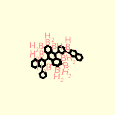 Bc1c(B)c(B)c2c(-c3cc(-c4ccccc4)c4ccccc4c3)c3c(B)c(B)c(B)c(B)c3c(-c3ccc4c(c3)-c3cc5ccccc5cc3B4)c2c1B